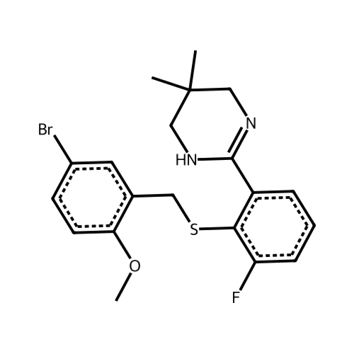 COc1ccc(Br)cc1CSc1c(F)cccc1C1=NCC(C)(C)CN1